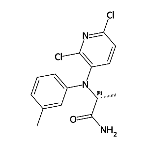 Cc1cccc(N(c2ccc(Cl)nc2Cl)[C@H](C)C(N)=O)c1